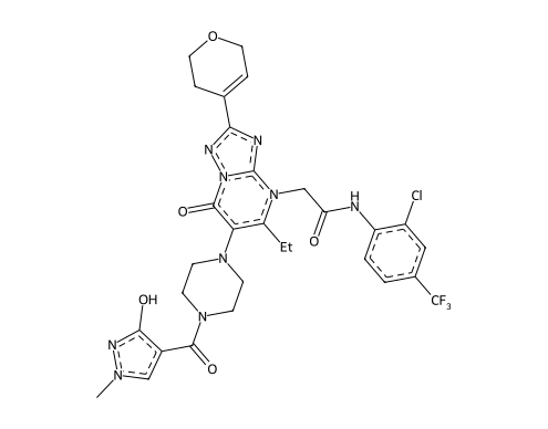 CCc1c(N2CCN(C(=O)c3cn(C)nc3O)CC2)c(=O)n2nc(C3=CCOCC3)nc2n1CC(=O)Nc1ccc(C(F)(F)F)cc1Cl